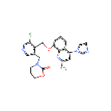 Cc1cc(-n2ccnc2)c2cccc(OCc3c(Cl)cncc3CN3CCCOC3=O)c2n1